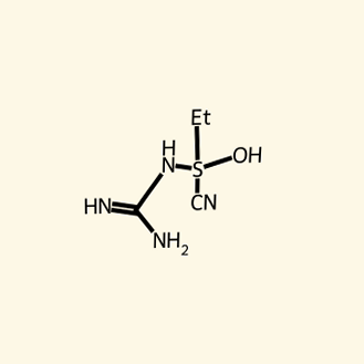 CCS(O)(C#N)NC(=N)N